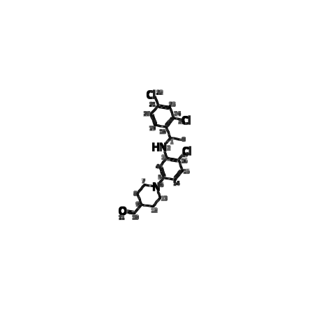 CC(Nc1cc(N2CCC(C=O)CC2)ccc1Cl)c1ccc(Cl)cc1Cl